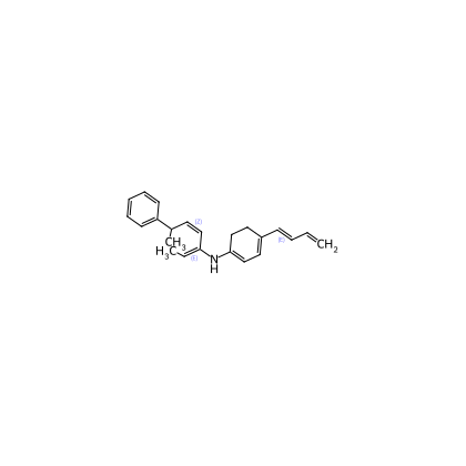 C=C/C=C/C1=CC=C(NC(/C=C\C(C)c2ccccc2)=C/C)CC1